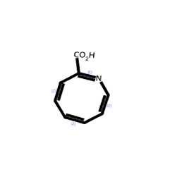 O=C(O)C1=N/C=C\C=C/C=C\1